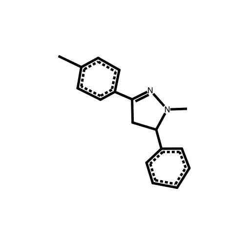 Cc1ccc(C2=NN(C)C(c3ccccc3)C2)cc1